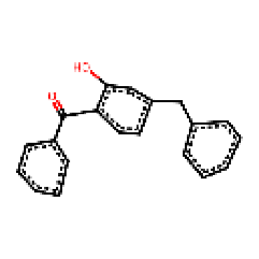 O=C(c1ccccc1)c1ccc(Cc2ccccc2)cc1O